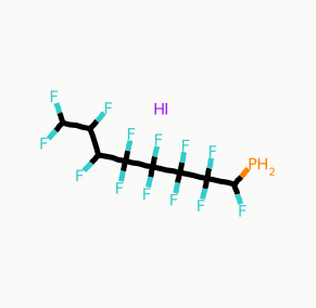 FC(F)C(F)C(F)C(F)(F)C(F)(F)C(F)(F)C(F)(F)C(F)P.I